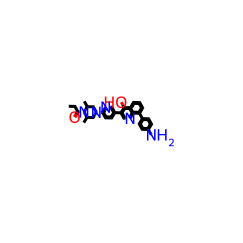 CCC(=O)N1C(C)CN(c2ccc(-c3cnc4c(-c5ccc(N)cc5)cccc4c3O)cn2)CC1C